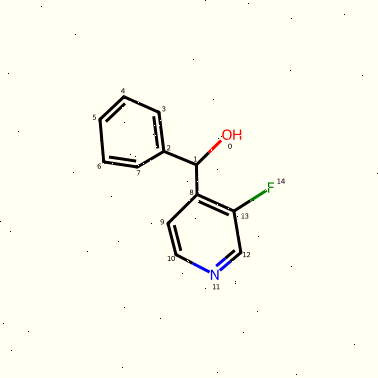 OC(c1ccccc1)c1ccncc1F